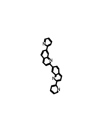 c1ccc(-c2ccc3ccc(-c4ccc5ccc(-c6ccccn6)nc5c4)nc3c2)nc1